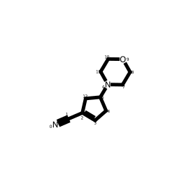 N#CC1=CCC(N2CCOCC2)C1